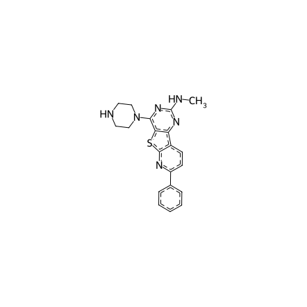 CNc1nc(N2CCNCC2)c2sc3nc(-c4ccccc4)ccc3c2n1